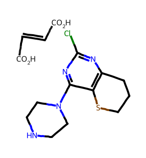 Clc1nc2c(c(N3CCNCC3)n1)SCCC2.O=C(O)C=CC(=O)O